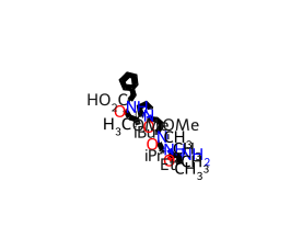 CCC(C)C(C(CC(=O)N1CCC[C@H]1C(OC)C(C)C(=O)NC(Cc1ccccc1)C(=O)O)OC)N(C)C(=O)C(NC(=O)C(C)(N)C(C)(C)CC)C(C)C